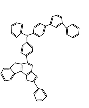 c1ccc(-c2cccc(-c3ccc(N(c4ccccc4)c4ccc(-c5cc6nc(-c7ccccc7)oc6c6c5oc5ccccc56)cc4)cc3)c2)cc1